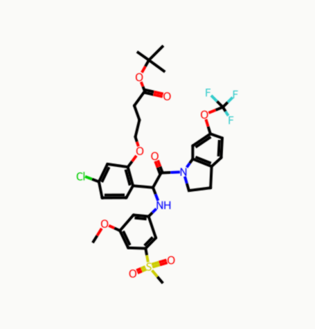 COc1cc(NC(C(=O)N2CCc3ccc(OC(F)(F)F)cc32)c2ccc(Cl)cc2OCCCC(=O)OC(C)(C)C)cc(S(C)(=O)=O)c1